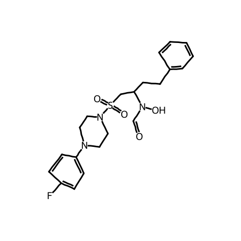 O=CN(O)C(CCc1ccccc1)CS(=O)(=O)N1CCN(c2ccc(F)cc2)CC1